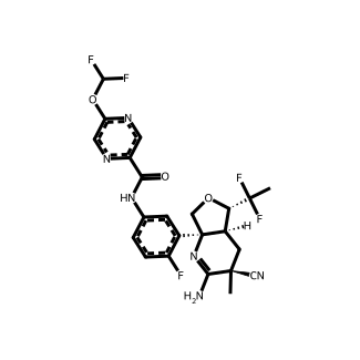 CC(F)(F)[C@H]1OC[C@]2(c3cc(NC(=O)c4cnc(OC(F)F)cn4)ccc3F)N=C(N)[C@](C)(C#N)C[C@H]12